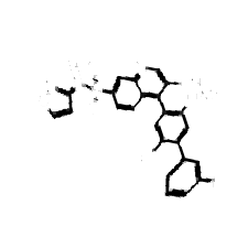 COc1cc(-c2cccc(F)c2)c(Cl)cc1-c1c(C#N)cnc2cc(S(=O)(=O)Nc3ccon3)ccc12